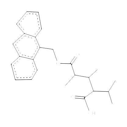 CC(C)C(C(=O)O)C(C)C(C)C(=O)OCc1c2ccccc2cc2ccccc12